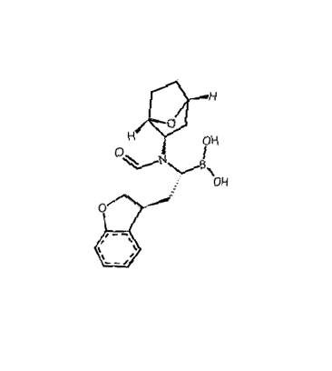 O=CN([C@@H]1C[C@H]2CC[C@@H]1O2)[C@@H](C[C@@H]1COc2ccccc21)B(O)O